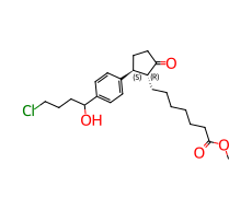 COC(=O)CCCCCC[C@H]1C(=O)CC[C@@H]1c1ccc(C(O)CCCCl)cc1